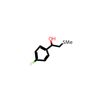 CSCC(O)c1ccc(F)cc1